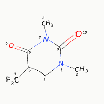 CN1CC(C(F)(F)F)C(=O)N(C)C1=O